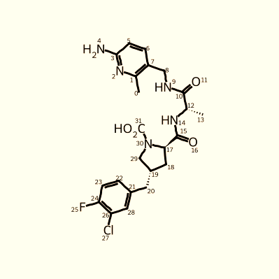 Cc1nc(N)ccc1CNC(=O)[C@H](C)NC(=O)[C@H]1C[C@H](Cc2ccc(F)c(Cl)c2)CN1C(=O)O